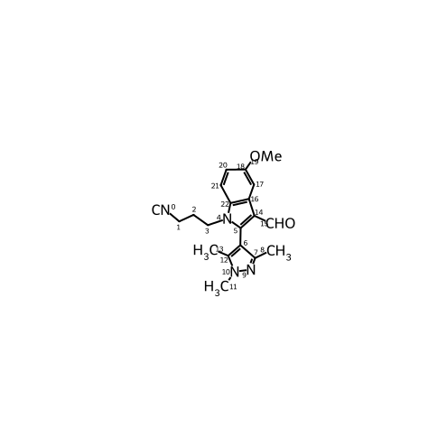 [C-]#[N+]CCCn1c(-c2c(C)nn(C)c2C)c(C=O)c2cc(OC)ccc21